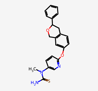 CN(C(N)=S)c1ccc(Oc2ccc3c(c2)COC(c2ccccc2)C3)nc1